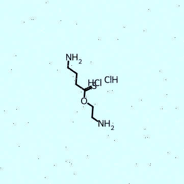 Cl.Cl.NCCCC(=S)OCCN